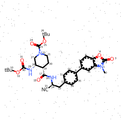 Cn1c(=O)oc2ccc(-c3ccc(C[C@@H](C#N)NC(=O)[C@H]4CCN(C(=O)OC(C)(C)C)C[C@H]4NC(=O)OC(C)(C)C)cc3)cc21